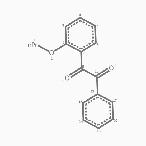 CCCOc1ccccc1C(=O)C(=O)c1ccccc1